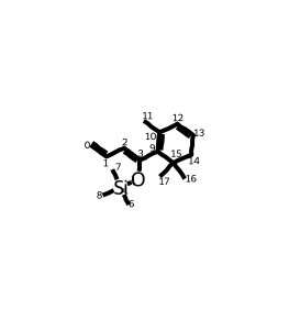 C=C/C=C(\O[Si](C)(C)C)C1=C(C)C=CCC1(C)C